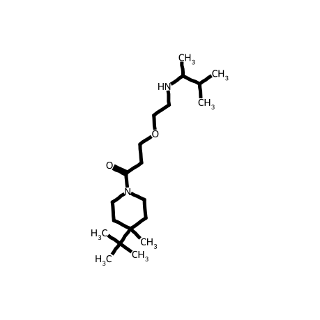 CC(C)C(C)NCCOCCC(=O)N1CCC(C)(C(C)(C)C)CC1